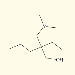 CCCC(CC)(CO)CN(C)C